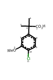 COc1cc(C(C)(C)C(=O)O)ccc1Cl